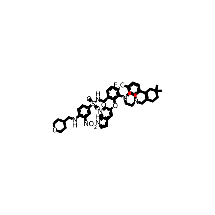 CC1(C)CCC(CN2CCN(c3cccc(C(=O)NS(=O)(=O)c4ccc(NCC5CCOCC5)c([N+](=O)[O-])c4)c3Oc3cnc4[nH]ccc4c3)CC2)=C(c2ccc(C(F)(F)F)c(F)c2)C1